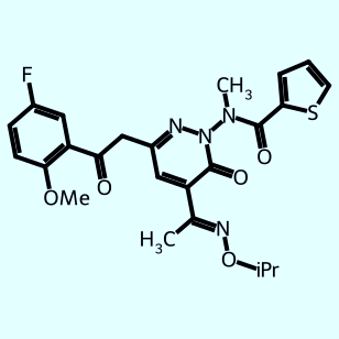 COc1ccc(F)cc1C(=O)Cc1cc(/C(C)=N/OC(C)C)c(=O)n(N(C)C(=O)c2cccs2)n1